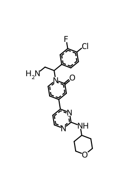 NCC(c1ccc(Cl)c(F)c1)n1ccc(-c2ccnc(NC3CCOCC3)n2)cc1=O